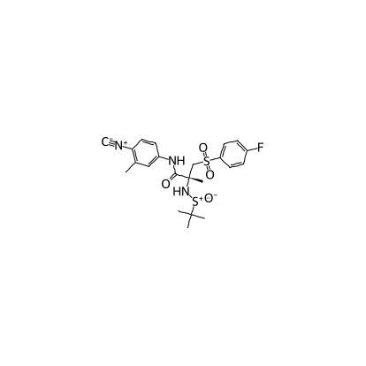 [C-]#[N+]c1ccc(NC(=O)[C@](C)(CS(=O)(=O)c2ccc(F)cc2)N[S@+]([O-])C(C)(C)C)cc1C